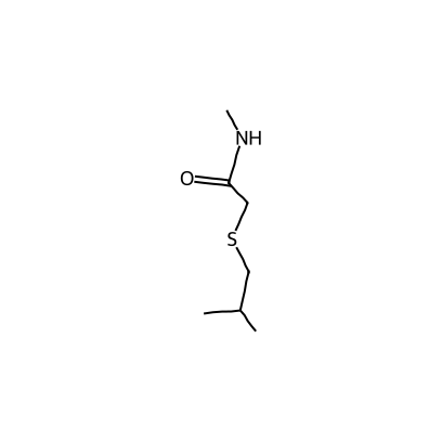 CNC(=O)CSCC(C)C